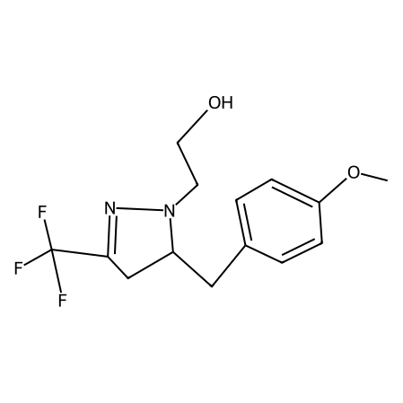 COc1ccc(CC2CC(C(F)(F)F)=NN2CCO)cc1